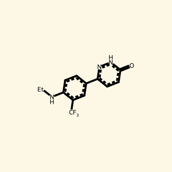 CCNc1ccc(-c2ccc(=O)[nH]n2)cc1C(F)(F)F